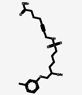 COC(=O)CCCC#CCNS(=O)(=O)CCCCC(COc1cccc(C)c1)OC(C)=O